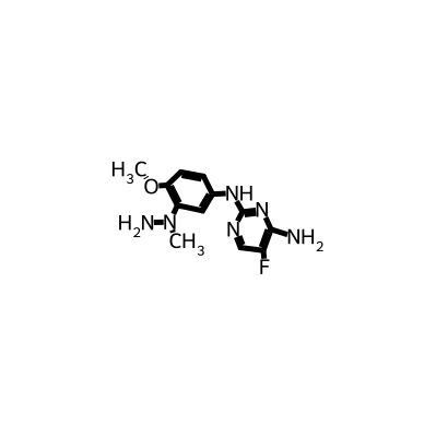 COc1ccc(Nc2ncc(F)c(N)n2)cc1N(C)N